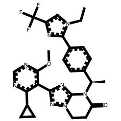 CCn1cc(C(F)(F)F)nc1-c1ccc([C@@H](C)N2C(=O)CCn3nc(-c4c(OC)ncnc4C4CC4)nc32)cc1